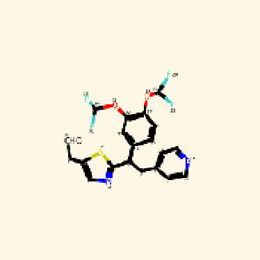 O=CCc1cnc(C(Cc2ccncc2)c2ccc(OC(F)F)c(OC(F)F)c2)s1